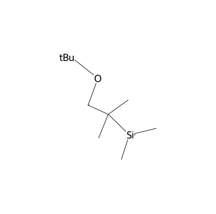 C[Si](C)C(C)(C)COC(C)(C)C